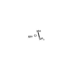 [Cr].[Mn].[SiH3][Mo]